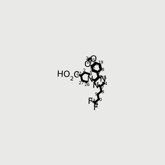 O=C(O)C1CCN(c2nc(CCCC(F)F)cnc2-c2ccc3c(c2)OCO3)CC1